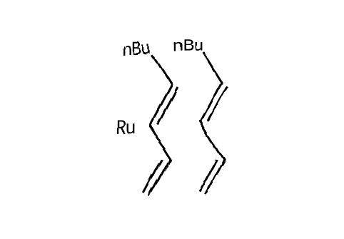 C=CC=CCCCC.C=CC=CCCCC.[Ru]